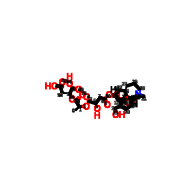 C[C@H](OC(=O)[C@@H](O)CC(=O)OC1=CC[C@@]2(O)[C@H]3Cc4ccc(CO)c5c4[C@@]2(CCCN3C)[C@H]1O5)C(=O)O[C@H](CC(=O)O)C(=O)O